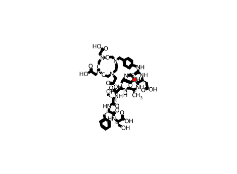 C[C@H](NC(=O)[C@H](CC(=O)O)NC(=S)Nc1ccc(CN2CCN(CC(=O)O)CCN(CC(=O)O)CCN(CC(=O)O)CC2)cc1)C(=O)N[C@@H](Cc1c[nH]cn1)C(=O)N[C@@H](CO)C(=O)N[C@@H](Cc1ccccc1)C(=O)N[C@@H](CO)C(=O)O